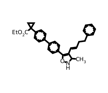 CCOC(=O)C1(c2ccc(-c3ccc(C4=C(C=CCCc5ccccc5)C(C)NO4)cc3)cc2)CC1